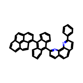 c1ccc(-c2ccc3ccc4ccc(-c5c6ccccc6c(-c6ccc7ccc8cccc9ccc6c7c89)c6ccccc56)nc4c3n2)cc1